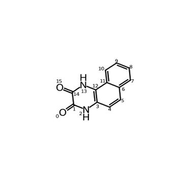 O=c1[nH]c2ccc3ccccc3c2[nH]c1=O